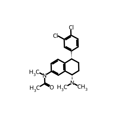 CC(=O)N(C)c1ccc2c(c1)[C@@H](N(C)C)CC[C@H]2c1ccc(Cl)c(Cl)c1